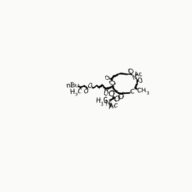 CCCCC(C)CC(=O)OCC/C=C/C1OC1C1OC(=O)/C=C\C=C\C(=O)N(C(C)=O)C(=O)/C=C(/C)CCC2OC2C1OC(=O)N(C)C(C)=O